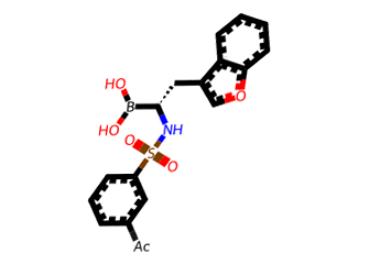 CC(=O)c1cccc(S(=O)(=O)N[C@@H](Cc2coc3ccccc23)B(O)O)c1